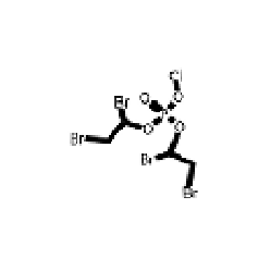 O=P(OCl)(OC(Br)CBr)OC(Br)CBr